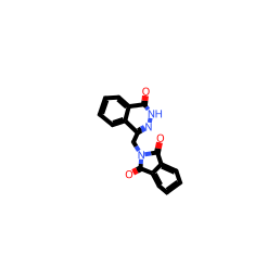 O=C1c2ccccc2C(=O)N1Cc1n[nH]c(=O)c2ccccc12